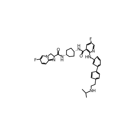 CC(C)NCCc1ccc(-c2cccc(Nc3ncc(F)cc3C(=O)N[C@H]3CC[C@@H](NC(=O)C4CN5C=C(F)C=CC5=N4)CC3)c2)cc1